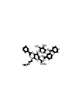 COC(=O)C1O[C@@H](OCCN=[N+]=[N-])C(OC(=O)c2ccccc2)C(O[C@H]2OC[C@@H](OC(=O)c3ccccc3)C(O)C2O)[C@@H]1OC(=O)c1ccccc1